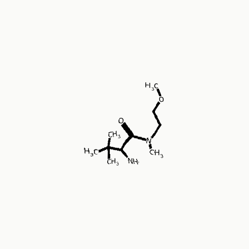 COCCN(C)C(=O)C([NH])C(C)(C)C